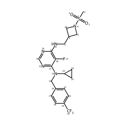 CS(=O)(=O)N1CC(CNc2ncnc(N(Cc3ccc(C(F)(F)F)cc3)C3CC3)c2F)C1